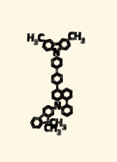 Cc1ccc2c(c1)c1cc(C)ccc1n2-c1ccc(-c2ccc(-c3ccc(N(c4ccc5c(c4)C(C)(C)c4ccccc4-5)c4ccccc4-c4ccccc4)cc3)cc2)cc1